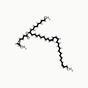 CC/C=C\CCCCCCCCCC/C=C\C/C=C\CCCCCCCCC(CCCCCCCCC)OC(=O)CCCN1CC1C